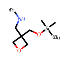 CC(C)NCC1(CO[Si](C)(C)C(C)(C)C)COC1